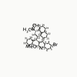 COc1nc2ccc(Br)cc2cc1C(/C(=C/CN(C)C)c1cccc2ccccc12)c1ccccc1